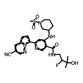 CC(C)(O)C(F)CNC(=O)c1cnc(-c2ccc3cc(C#N)cnn23)cc1NC1CCCN(S(C)(=O)=O)C1